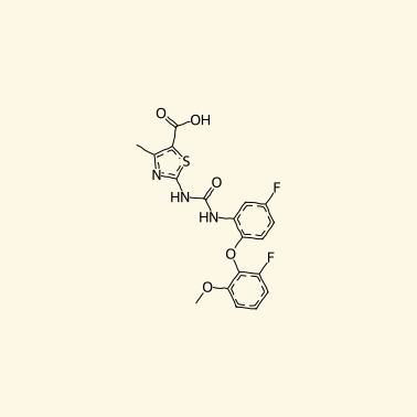 COc1cccc(F)c1Oc1ccc(F)cc1NC(=O)Nc1nc(C)c(C(=O)O)s1